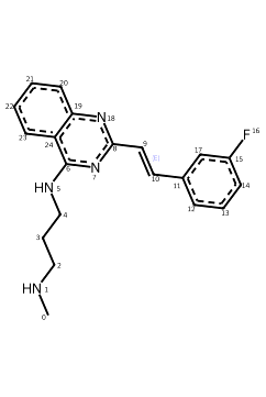 CNCCCNc1nc(/C=C/c2cccc(F)c2)nc2ccccc12